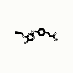 C#CCOc1nc(Nc2ccc(CCC(=O)O)cc2)ncc1Br